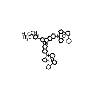 CC(C)(C)c1ccc(-c2cc3c4cc5ccc(N(c6ccccc6)c6cccc7c6oc6c(C8CCCCC8)cccc67)cc5cc4n4c5cc6cc(N(c7ccccc7)c7cccc8c7oc7c(C9CCCCC9)cccc78)ccc6cc5c(c2)c34)cc1